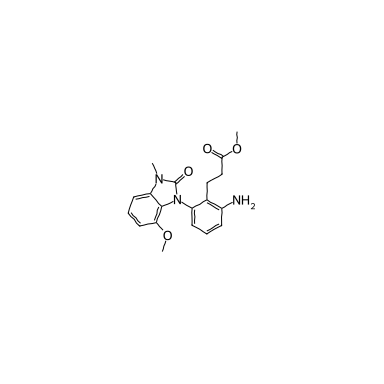 COC(=O)CCc1c(N)cccc1-n1c(=O)n(C)c2cccc(OC)c21